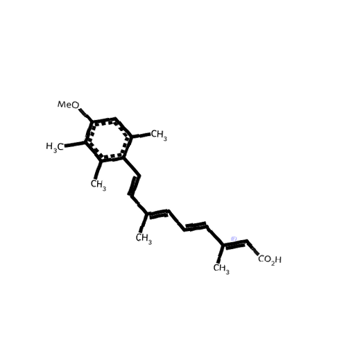 COc1cc(C)c(C=CC(C)=CC=C/C(C)=C/C(=O)O)c(C)c1C